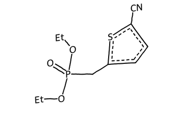 CCOP(=O)(Cc1ccc(C#N)s1)OCC